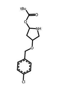 CC(C)(C)C(=O)OC1CC(OCc2ccc(Cl)cc2)CN1